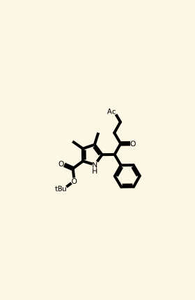 CC(=O)CCC(=O)C(c1ccccc1)c1[nH]c(C(=O)OC(C)(C)C)c(C)c1C